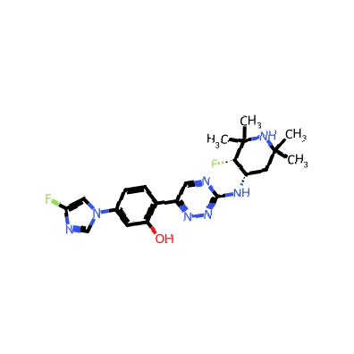 CC1(C)C[C@H](Nc2ncc(-c3ccc(-n4cnc(F)c4)cc3O)nn2)[C@H](F)C(C)(C)N1